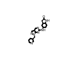 O=C1Cc2cc(Nc3ncc4cnn(Cc5cccnc5)c4n3)ccc2N1